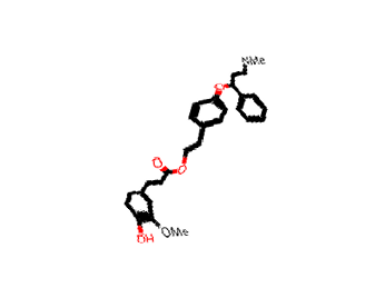 CNCCC(Oc1ccc(CCOC(=O)C=Cc2ccc(O)c(OC)c2)cc1)c1ccccc1